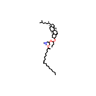 C=C(CCCCCC/C=C\CCCCCCCC)OCC(CN(C)C)OC(CCC)OC1CC[C@@]2(C)C(=CCC3C2CC[C@@]2(C)[C@@H]3CC[C@@H]2[C@H](C)CCCC(C)C)C1